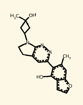 Cc1cc2occc2c(O)c1-c1cc2c(nn1)N(C1CC(C)(O)C1)CC2